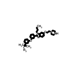 CCCCn1c(-c2cccc(Oc3cccc(C(C)(C)C)c3)c2)nc2ccc(OCCN3CCNCC3)cc21